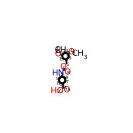 COc1cc(COC(=O)Nc2ccc(C(=O)O)cc2)cc(OC)c1